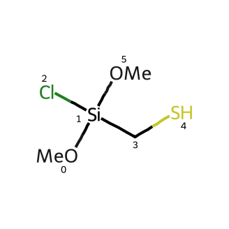 CO[Si](Cl)(CS)OC